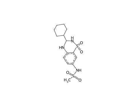 CS(=O)(=O)Nc1ccc2c(c1)S(=O)(=O)NC(C1CCCCC1)N2